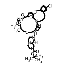 C[C@@H]1[C@@H](C)CCC[C@@H](CN2CCN3CCN(C(=O)OC(C)(C)C)C[C@@H]3C2)[C@@H]2CC[C@H]2CN2CCCCc3cc(Cl)ccc3COc3ccc(cc32)C(=O)NS1(=O)=O